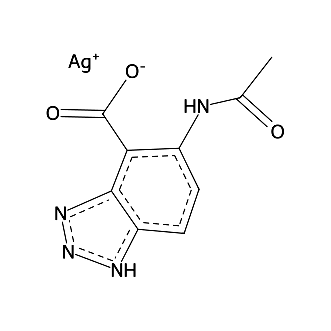 CC(=O)Nc1ccc2[nH]nnc2c1C(=O)[O-].[Ag+]